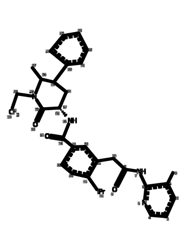 Cc1cccnc1NC(=O)Cc1cc(C(=O)N[C@H]2CC(c3ccccc3)C(C)N(CC(F)(F)F)C2=O)ccc1C(C)C